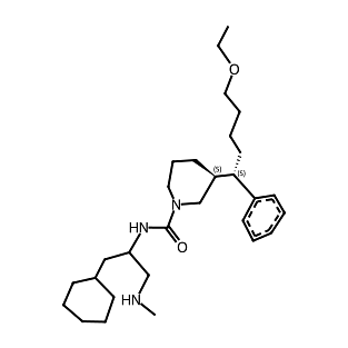 CCOCCCC[C@H](c1ccccc1)[C@@H]1CCCN(C(=O)NC(CNC)CC2CCCCC2)C1